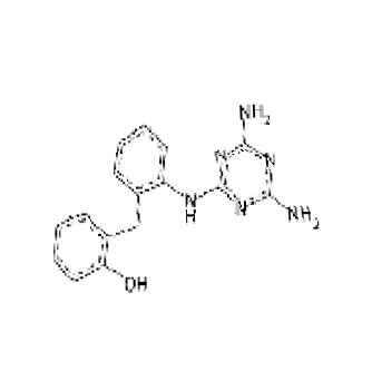 Nc1nc(N)nc(Nc2ccccc2Cc2ccccc2O)n1